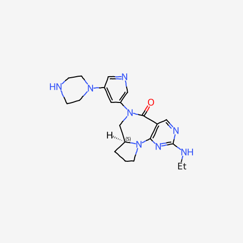 CCNc1ncc2c(n1)N1CCC[C@H]1CN(c1cncc(N3CCNCC3)c1)C2=O